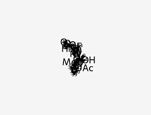 C#CC(CO)(OC)[C@H](Cn1cnc2c(NC(=O)[C@H]3CCC(=O)O3)nc(F)nc21)OC(=O)CC(C)(C)c1c(C)cc(C)cc1OC(C)=O